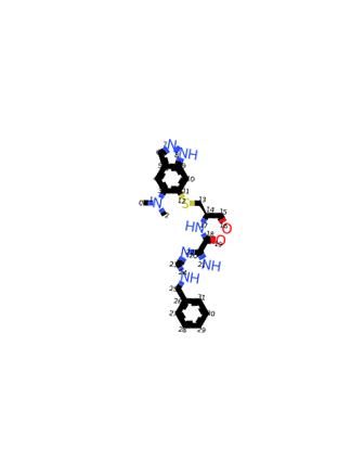 CN(C)c1cc2cn[nH]c2cc1SC[C@@H](C=O)NC(=O)C(=N)/N=C\NCc1ccccc1